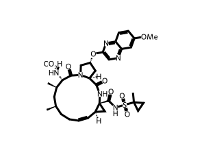 COc1ccc2nc(O[C@@H]3C[C@H]4C(=O)N[C@]5(C(=O)NS(=O)(=O)C6(C)CC6)C[C@H]5C=CCC[C@@H](C)C[C@@H](C)[C@H](NC(=O)O)C(=O)N4C3)cnc2c1